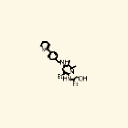 CCC1=C(NC(CC)CO)N=C(C)C(C)=C(NCc2ccc(-c3ccccn3)cc2)C1